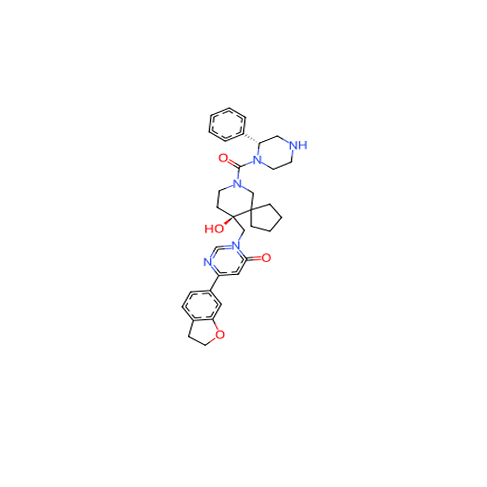 O=C(N1CC[C@@](O)(Cn2cnc(-c3ccc4c(c3)OCC4)cc2=O)C2(CCCC2)C1)N1CCNC[C@H]1c1ccccc1